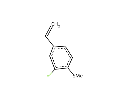 C=Cc1ccc(SC)c(F)c1